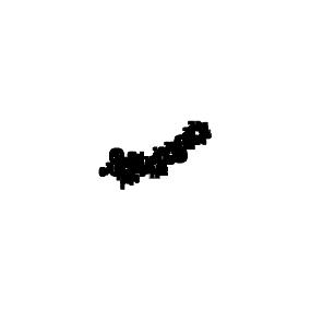 CCOC(=O)c1cnn(Cc2ccc3c(c2)C[C@@H](CC(=O)OCc2ccccc2)C3)c1C(F)(F)F